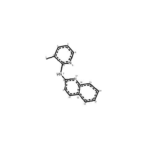 Cc1cccnc1Nc1ccc2ccccc2n1